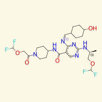 C[C@@H](COC(F)F)Nc1ncc(C(=O)NC2CCN(C(=O)COC(F)F)CC2)c(/N=C\C2CCC(O)CC2)n1